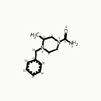 CC1CN(C(N)=O)CCN1Cc1ccccc1